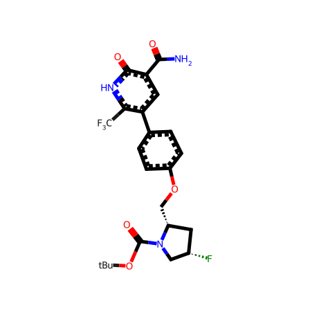 CC(C)(C)OC(=O)N1C[C@@H](F)C[C@H]1COc1ccc(-c2cc(C(N)=O)c(=O)[nH]c2C(F)(F)F)cc1